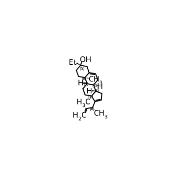 C=C[C@@H](C)C1=CC[C@H]2[C@@H]3CC=C4C[C@](O)(CC)CC[C@]4(C)[C@H]3CC[C@]12C